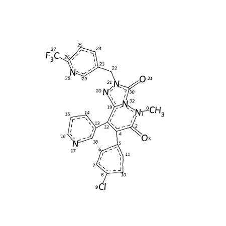 Cn1c(=O)c(-c2ccc(Cl)cc2)c(-c2cccnc2)c2nn(Cc3ccc(C(F)(F)F)nc3)c(=O)n21